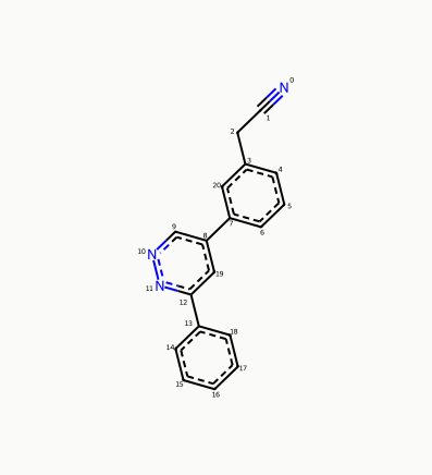 N#CCc1cccc(-c2cnnc(-c3ccccc3)c2)c1